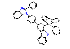 C1=CC2N=C(c3ccccc3)N(c3ccc(-c4cc5c6c(c4)c4ccccc4n6-c4ccccc4C54c5ccccc5-c5ccccc54)cc3)C2C=C1